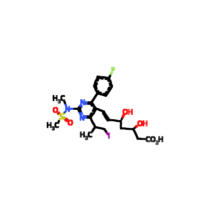 CC(CI)c1nc(N(C)S(C)(=O)=O)nc(-c2ccc(F)cc2)c1/C=C/[C@@H](O)C[C@@H](O)CC(=O)O